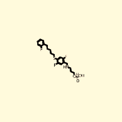 O=[PH](O)OCCCNCc1cc(F)c(SCCCCCc2ccccc2F)cc1F